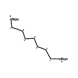 [CH2]CCCCCCCCCCCCCCCCCCCCCCCC